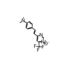 CN(C)c1ccc(C=Cc2cc(C(F)(F)F)[n+]([O-])cn2)cc1